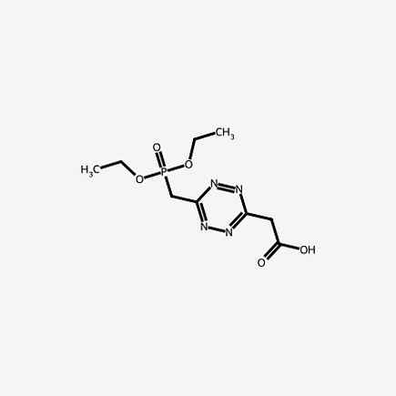 CCOP(=O)(Cc1nnc(CC(=O)O)nn1)OCC